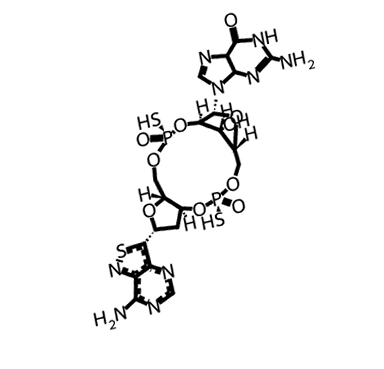 NC1=NC2C(N=CN2[C@@H]2O[C@@H]3CO[P@@](=O)(S)O[C@H]4C[C@H](c5snc6c(N)ncnc56)O[C@@H]4CO[P@@](=O)(S)O[C@@H]2[C@@H]3O)C(=O)N1